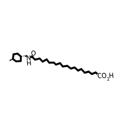 C[C@H]1CC[C@H](CNC(=O)CCCCCCCCCCCCCCCCCCC(=O)O)CC1